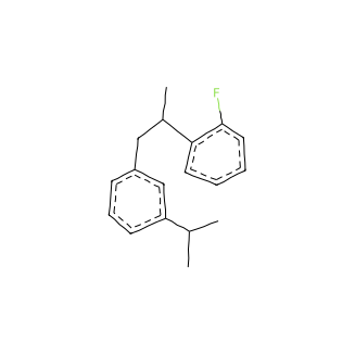 CC(C)c1cccc(CC(C)c2ccccc2F)c1